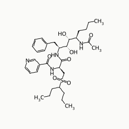 CCCC[C@@H](NC(C)=O)[C@@H](O)[C@H](O)[C@H](Cc1ccccc1)NC(=O)[C@@H](CS(=O)(=O)C(CCC)CCC)NC(=O)c1cccnc1